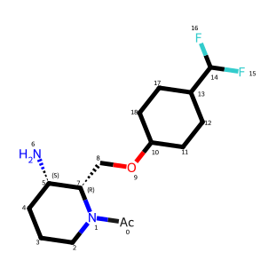 CC(=O)N1CCC[C@H](N)[C@@H]1COC1CCC(C(F)F)CC1